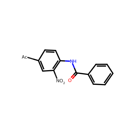 CC(=O)c1ccc(NC(=O)c2ccccc2)c([N+](=O)[O-])c1